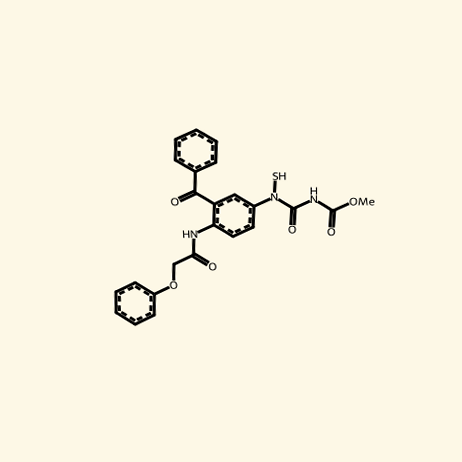 COC(=O)NC(=O)N(S)c1ccc(NC(=O)COc2ccccc2)c(C(=O)c2ccccc2)c1